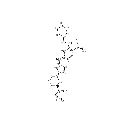 C=CC(=O)N1CCC[C@@H](n2cc(Nc3ncc(C(N)=O)c(NCC4CCOCC4)n3)cn2)C1